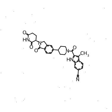 Cc1c(C(=O)N2CCC(c3ccc4c(c3)CN(C3CCC(=O)NC3=O)C4=O)CC2)[nH]c2cc(C#N)ccc12